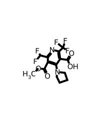 COC(=O)c1c(C(F)F)nc(C(F)(F)F)c(C(=O)O)c1N1CCCC1